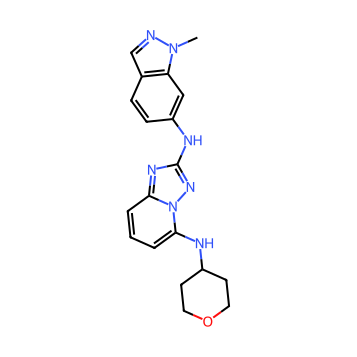 Cn1ncc2ccc(Nc3nc4cccc(NC5CCOCC5)n4n3)cc21